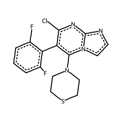 Fc1cccc(F)c1-c1c(Cl)nc2nccn2c1N1CCSCC1